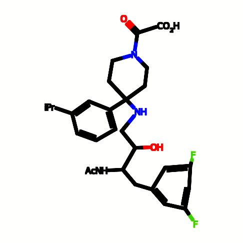 CC(=O)NC(Cc1cc(F)cc(F)c1)C(O)CNC1(c2cccc(C(C)C)c2)CCN(C(=O)C(=O)O)CC1